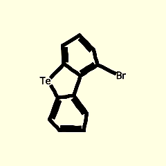 Brc1cccc2[te]c3ccccc3c12